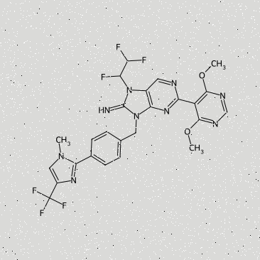 COc1ncnc(OC)c1-c1ncc2c(n1)n(Cc1ccc(-c3nc(C(F)(F)F)cn3C)cc1)c(=N)n2C(F)C(F)F